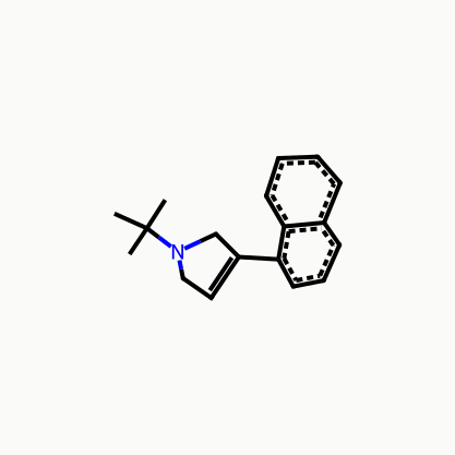 CC(C)(C)N1CC=C(c2cccc3ccccc23)C1